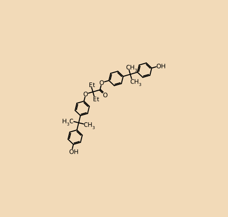 CCC(CC)(Oc1ccc(C(C)(C)c2ccc(O)cc2)cc1)C(=O)Oc1ccc(C(C)(C)c2ccc(O)cc2)cc1